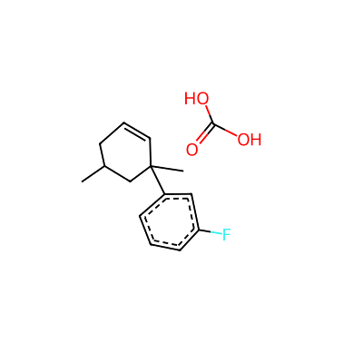 CC1CC=CC(C)(c2cccc(F)c2)C1.O=C(O)O